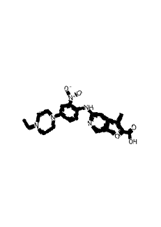 CCN1CCN(c2ccc(Nc3cc4c(C)c(C(=O)O)oc4cn3)c([N+](=O)[O-])c2)CC1